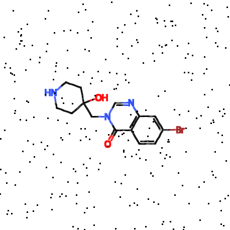 O=c1c2ccc(Br)cc2ncn1CC1(O)CCNCC1